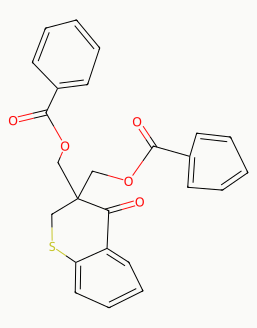 O=C(OCC1(COC(=O)c2ccccc2)CSc2ccccc2C1=O)c1ccccc1